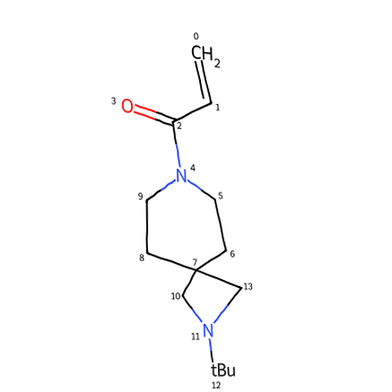 C=CC(=O)N1CCC2(CC1)CN(C(C)(C)C)C2